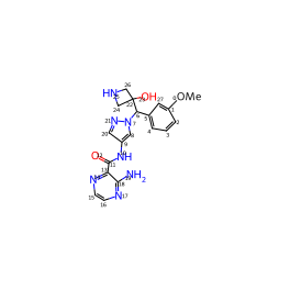 COc1cccc(C(n2cc(NC(=O)c3nccnc3N)cn2)C2(O)CNC2)c1